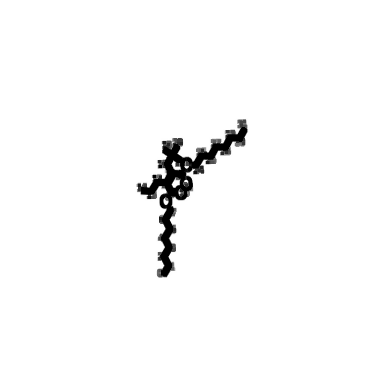 CCCCCCCCOC(=O)/C(CCC)=C(/CC(C)(C)C)C(=O)OCCCCCCCC